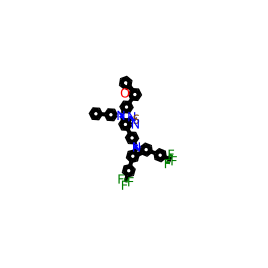 FC(F)(F)c1ccc(-c2ccc3c(c2)c2cc(-c4ccc(C(F)(F)F)cc4)ccc2n3-c2ccc(-c3ccc(N(c4ccc(-c5ccccc5)cc4)c4ccc(-c5cccc6c5oc5ccccc56)cc4)c4nsnc34)cc2)cc1